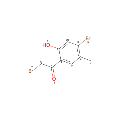 Cc1cc(C(=O)CBr)c(O)cc1Br